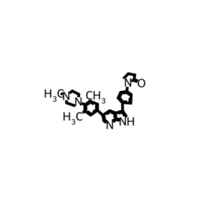 Cc1cc(-c2cnc3[nH]cc(-c4ccc(N5CCCC5=O)cc4)c3c2)cc(C)c1N1CCN(C)CC1